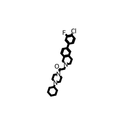 O=C(CN1CCc2cc(-c3ccc(Cl)c(F)c3)ccc2C1)N1CCN(C2CCCCC2)CC1